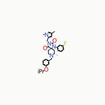 Cc1cc(CN2C(=O)N(c3cccc(F)c3)[C@@]3(CCN(Cc4cccc(OC(C)C)c4)[C@@H](C)C3)C2=O)n(C)c1